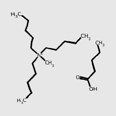 CCCCC(=O)O.CCCCC[N+](C)(CCCCC)CCCCC